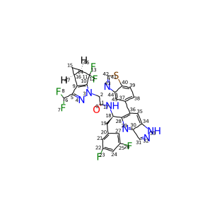 O=C(Cn1nc(C(F)F)c2c1C(F)(F)[C@@H]1C[C@H]21)N[C@H](Cc1cc(F)cc(F)c1)c1nc2cn[nH]c2cc1-c1ccc2scnc2c1